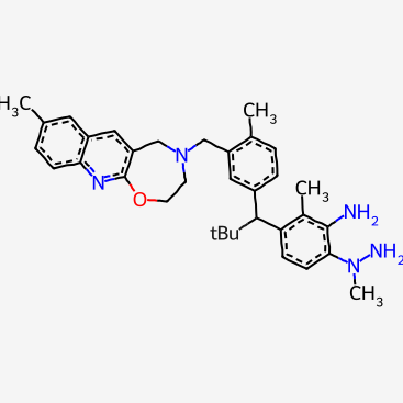 Cc1ccc2nc3c(cc2c1)CN(Cc1cc(C(c2ccc(N(C)N)c(N)c2C)C(C)(C)C)ccc1C)CCO3